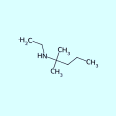 [CH2]CNC(C)(C)CCC